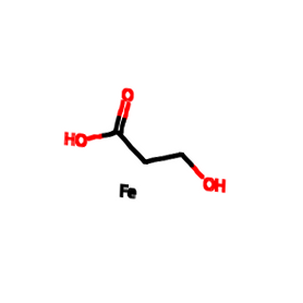 O=C(O)CCO.[Fe]